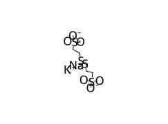 O=S(=O)([O-])CCSSCCS(=O)(=O)[O-].[K+].[Na+]